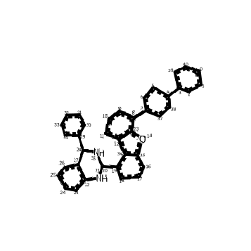 c1ccc(-c2ccc(-c3cccc4c3oc3cccc(C5Nc6ccccc6C(c6ccccc6)N5)c34)cc2)cc1